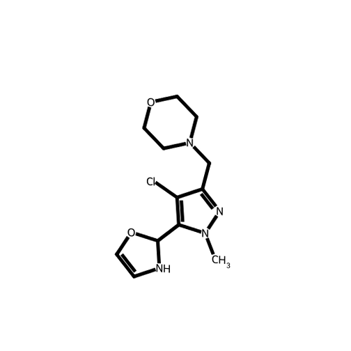 Cn1nc(CN2CCOCC2)c(Cl)c1C1NC=CO1